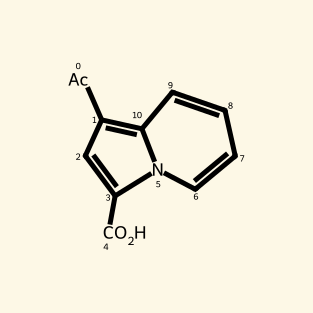 CC(=O)c1cc(C(=O)O)n2ccccc12